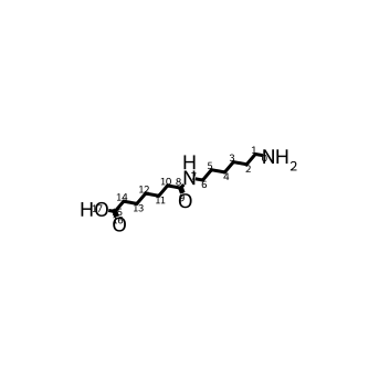 NCCCCCCNC(=O)CCCCCC(=O)O